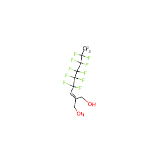 OCC(=CC(F)(F)C(F)(F)C(F)(F)C(F)(F)C(F)(F)C(F)(F)F)CO